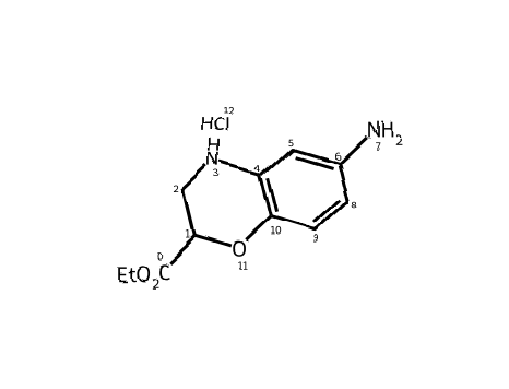 CCOC(=O)C1CNc2cc(N)ccc2O1.Cl